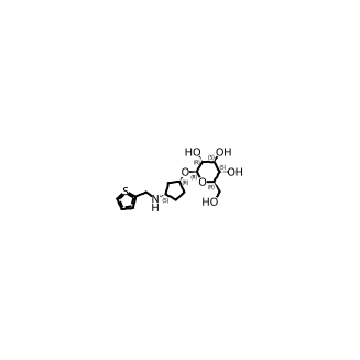 OC[C@H]1O[C@@H](O[C@@H]2CC[C@H](NCc3cccs3)C2)[C@H](O)[C@@H](O)[C@@H]1O